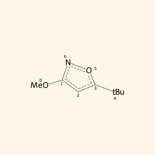 COc1cc(C(C)(C)C)on1